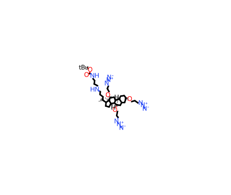 C[C@H](CCCNCCCCNC(=O)OC(C)(C)C)C1CC[C@H]2C3[C@H](OCCCN=[N+]=[N-])CC4C[C@H](OCCCN=[N+]=[N-])CC[C@]4(C)[C@H]3C[C@H](OCCCN=[N+]=[N-])[C@]12C